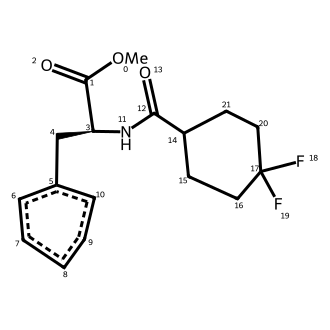 COC(=O)[C@H](Cc1ccccc1)NC(=O)C1CCC(F)(F)CC1